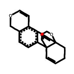 C1=CC23C=CCOC2(C=Cc2c3ccc3c2C=COC3)CC1